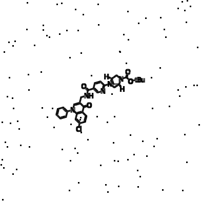 CC(C)(C)OC(=O)N1C[C@@H]2C[C@H]1CN2c1ccc(C(=O)NCc2cn(-c3ccccc3)c3cc(Cl)ccc3c2=O)cn1